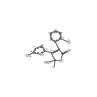 CC1(O)OC(=O)C(c2ccccc2Cl)=C1c1ccc(Cl)s1